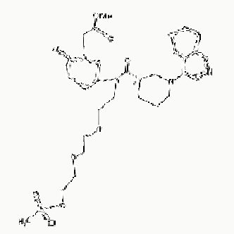 COC(=O)Cn1cc(N(CCOCCOCCOS(C)(=O)=O)C(=O)[C@H]2CCCN(c3cncc4ccccc34)C2)ccc1=O